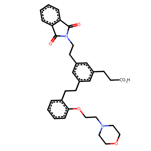 O=C(O)CCc1cc(CCc2ccccc2OCCN2CCOCC2)cc(CCN2C(=O)c3ccccc3C2=O)c1